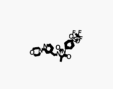 CC1C(=O)N(c2ccc(S(=O)(=O)C(F)(F)F)cc2)C(=O)N1Cc1ccnc(N2CCOCC2)c1